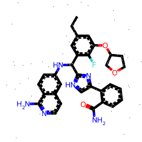 CCc1cc(OC2CCOC2)c(F)c(C(Nc2ccc3c(N)nccc3c2)c2nc(-c3ccccc3C(N)=O)c[nH]2)c1